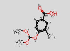 COC(OC)Oc1ccc(C(=O)O)cc1C